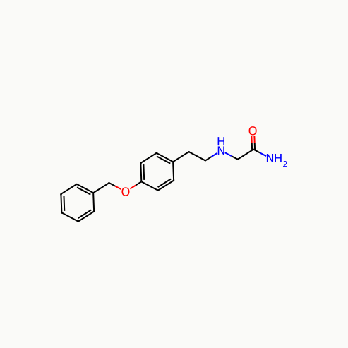 NC(=O)CNCCc1ccc(OCc2ccccc2)cc1